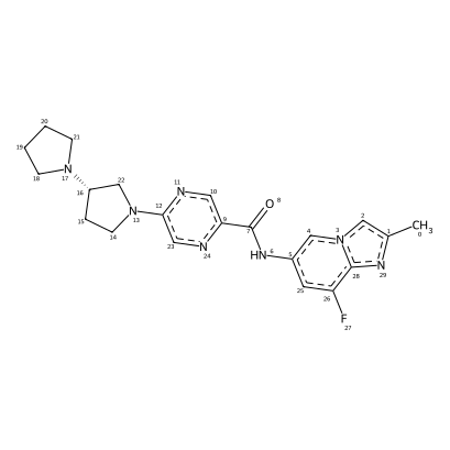 Cc1cn2cc(NC(=O)c3cnc(N4CC[C@H](N5CCCC5)C4)cn3)cc(F)c2n1